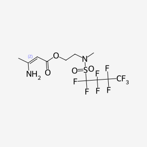 C/C(N)=C/C(=O)OCCN(C)S(=O)(=O)C(F)(F)C(F)(F)C(F)(F)C(F)(F)F